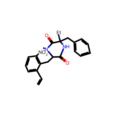 C=Cc1cccc([N+](=O)[O-])c1CC1C(=O)NC(CC)(Cc2ccccc2)C(=O)N1C